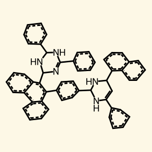 C1=C(c2ccccc2)NC(c2ccc(-c3c(C4N=C(c5ccccc5)NC(c5ccccc5)N4)c4ccccc4c4ccccc34)cc2)NC1c1cccc2ccccc12